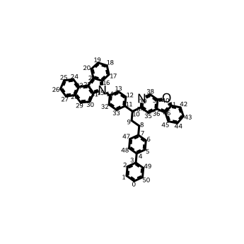 c1ccc(-c2ccc(CCC(c3ccc(-n4c5ccccc5c5c6ccccc6ccc54)cc3)c3cc4c(cn3)oc3ccccc34)cc2)cc1